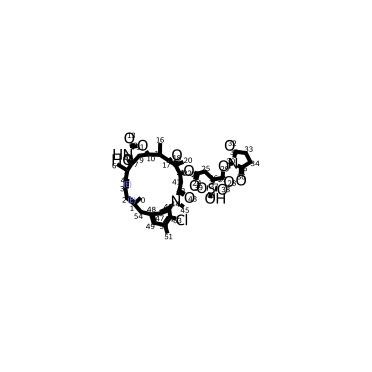 C/C1=C\C=C\C(C)C2(O)CC(OC(=O)N2)C(C)C2OC2(C)C(OC(=O)CC(C(=O)ON2C(=O)CCC2=O)S(=O)(=O)O)CC(=O)N(C)c2cc(cc(C)c2Cl)C1